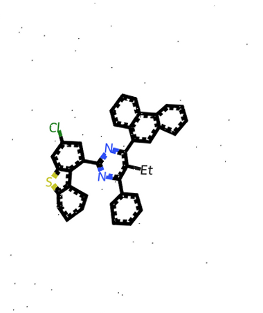 CCc1c(-c2ccccc2)nc(-c2cc(Cl)cc3sc4ccccc4c23)nc1-c1cc2ccccc2c2ccccc12